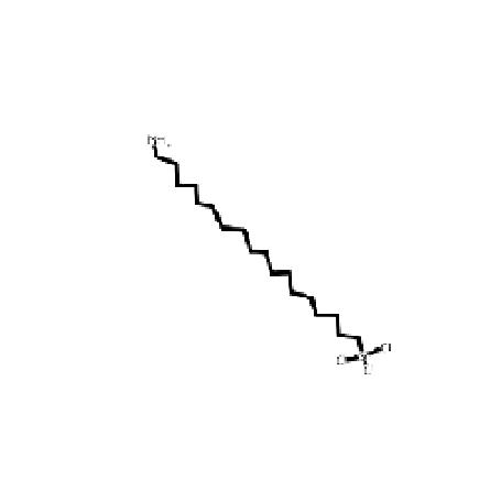 NCCCCCCCCCCCCCCCCCC[Si](Cl)(Cl)Cl